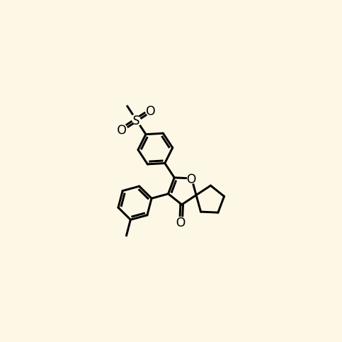 Cc1cccc(C2=C(c3ccc(S(C)(=O)=O)cc3)OC3(CCCC3)C2=O)c1